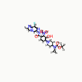 Cc1cn2cc(NC(=O)c3ccc(N4CCC(N(C(=O)OC(C)(C)C)C5CC5)CC4)c(O)c3[N+](=O)[O-])cc(F)c2n1